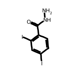 NNC(=O)c1ccc(I)cc1I